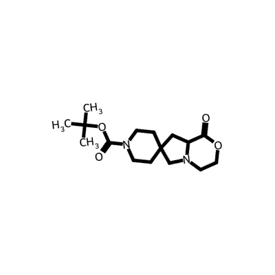 CC(C)(C)OC(=O)N1CCC2(CC1)CC1C(=O)OCCN1C2